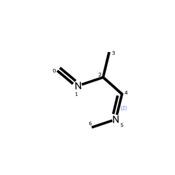 C=NC(C)/C=N\C